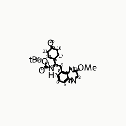 COc1cnc2cccc(CC(NC(=O)OC(C)(C)C)C3CCC(=O)CC3)c2n1